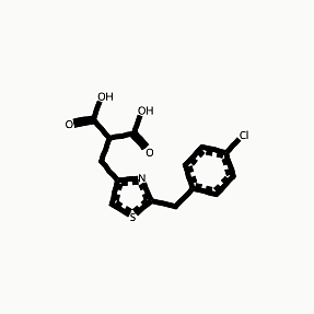 O=C(O)C(Cc1csc(Cc2ccc(Cl)cc2)n1)C(=O)O